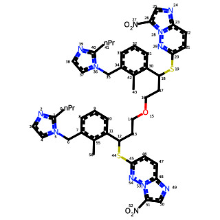 CCCc1nccn1Cc1cccc(C(CCOCCC(Sc2ccc3ncc([N+](=O)[O-])n3n2)c2cccc(Cn3ccnc3CCC)c2C)Sc2ccc3ncc([N+](=O)[O-])n3n2)c1C